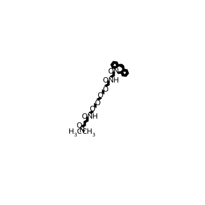 CN(C)C(=O)CCCC(=O)NCCOCCOCCOCCOCCC(=O)NCCC(=O)N1Cc2ccccc2C#Cc2ccccc21